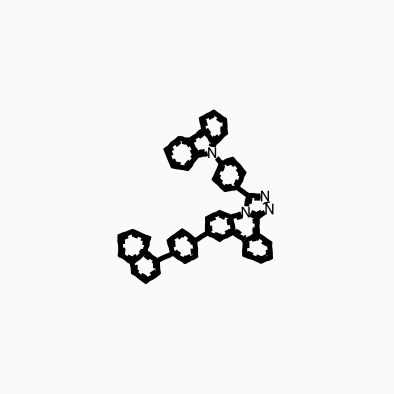 c1ccc2c(-c3ccc(-c4ccc5c(c4)c4ccccc4c4nnc(-c6ccc(-n7c8ccccc8c8ccccc87)cc6)n54)cc3)cccc2c1